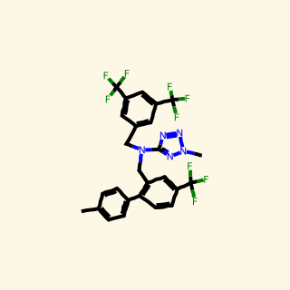 Cc1ccc(-c2ccc(C(F)(F)F)cc2CN(Cc2cc(C(F)(F)F)cc(C(F)(F)F)c2)c2nnn(C)n2)cc1